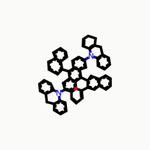 C1=CCCC(c2cc3ccccc3cc2-c2c3cc(N4C5=C(CCC=C5)Cc5ccccc54)ccc3c(-c3cccc4ccccc34)c3cc(N4c5ccccc5Cc5ccccc54)ccc23)=C1